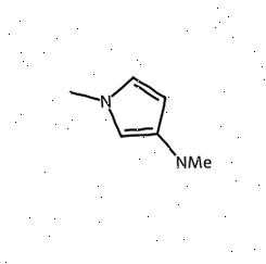 CNc1ccn(C)c1